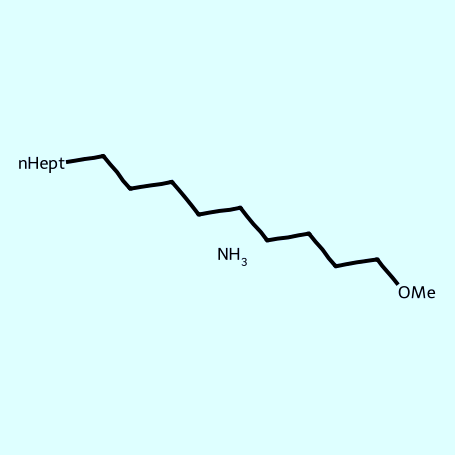 CCCCCCCCCCCCCCCCOC.N